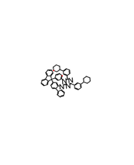 c1ccc(C2(c3ccc4c5ccccc5n(-c5nc(-c6cccc(C7CCCCC7)c6)nc(-c6cccc(C7CCCCC7)c6)n5)c4c3)c3ccccc3-c3ccccc32)cc1